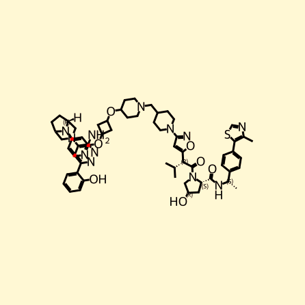 Cc1ncsc1-c1ccc([C@H](C)NC(=O)[C@@H]2C[C@@H](O)CN2C(=O)[C@@H](c2cc(N3CCC(CN4CCC(OC5CC(Oc6cc(N7C8CC[C@@H]7CN(c7cc(-c9ccccc9O)nnc7N)C8)ccn6)C5)CC4)CC3)no2)C(C)C)cc1